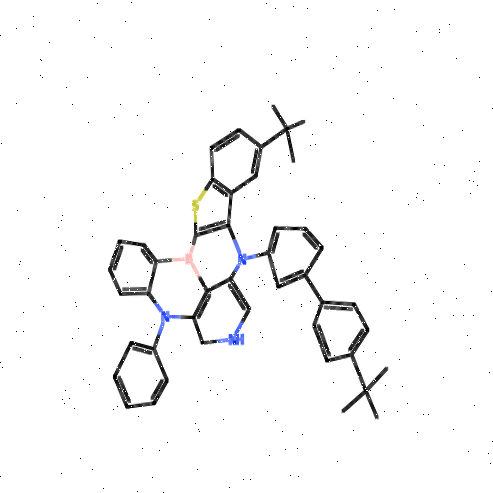 CC(C)(C)c1ccc(-c2cccc(N3C4=CNCC5=C4B(c4ccccc4N5c4ccccc4)c4sc5ccc(C(C)(C)C)cc5c43)c2)cc1